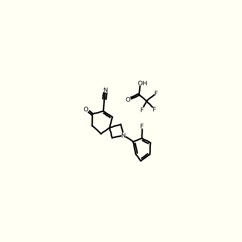 N#CC1=CC2(CCC1=O)CN(c1ccccc1F)C2.O=C(O)C(F)(F)F